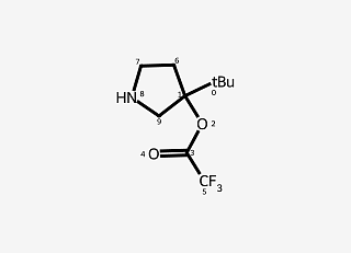 CC(C)(C)C1(OC(=O)C(F)(F)F)CCNC1